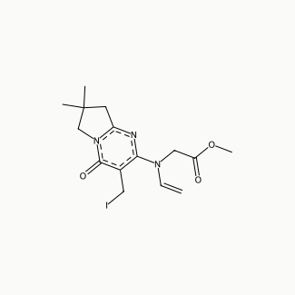 C=CN(CC(=O)OC)c1nc2n(c(=O)c1CI)CC(C)(C)C2